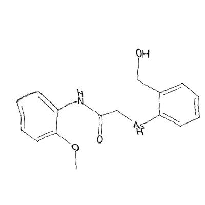 COc1ccccc1NC(=O)C[AsH]c1ccccc1CO